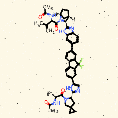 C=C(C)[C@H](NC(=O)OC)C(=O)N1[C@@H]2CC[C@@H](C2)[C@H]1c1nc2ccc(-c3ccc4c(c3)C(F)(F)c3cc(-c5cnc([C@@H]6CC7(CC7)CN6C(=O)[C@@H](NC(=O)OC)C(C)C)[nH]5)ccc3-4)cc2[nH]1